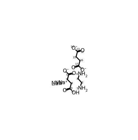 NCCN.O=C([O-])CCC(=O)O.O=C([O-])CCC(=O)[O-].[Na+].[Na+].[Na+]